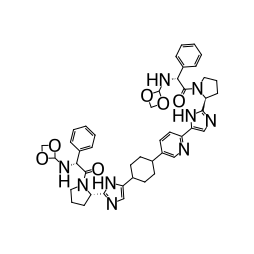 O=C([C@H](NC1OCO1)c1ccccc1)N1CCC[C@H]1c1ncc(-c2ccc(C3CCC(c4cnc([C@@H]5CCCN5C(=O)[C@H](NC5OCO5)c5ccccc5)[nH]4)CC3)cn2)[nH]1